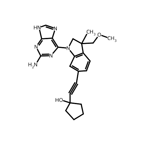 COCC1(C)CN(c2nc(N)nc3[nH]cnc23)c2cc(C#CC3(O)CCCC3)ccc21